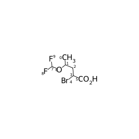 CC(CC(Br)C(=O)O)OC(F)F